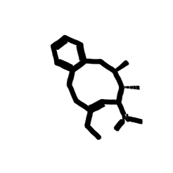 CC/C1=C\C(N(C)C)[C@@H](C)[C@H](C)Cc2ccccc2CC1